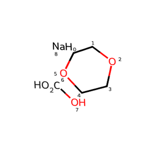 C1COCCO1.O=C(O)O.[NaH]